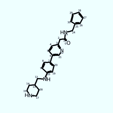 O=C(Cc1ccc(-c2ccc(NCC3CCNCC3)cc2)cn1)NCc1ccccc1